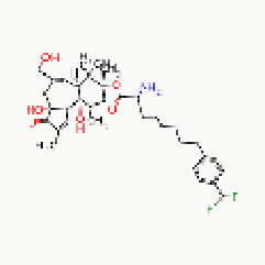 CC1=CC2[C@@]3(O)[C@H](C)C[C@@](C)(OC(=O)C(N)CCCCCCc4ccc(C(F)F)cc4)C(C)(C)[C@@H]3C=C(CO)C[C@]2(O)C1=O